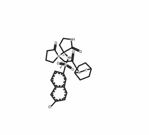 C[C@@H](C(=O)N1CC2CCC1CC2)[N+]1([C@]2(NS(=O)(=O)c3ccc4cc(Cl)ccc4c3)CCNC2=O)CCCC1=O